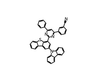 N#Cc1cccc(-c2cc(-c3ccccc3)nc(-c3cc(-n4c5ccccc5c5ccccc54)cc4c3sc3ccccc34)n2)c1